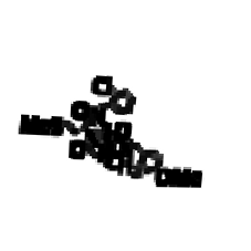 COc1ccc(CNC(=O)N2[C@H]3CN(Cc4ccccc4Cl)C(=O)[C@H](CCSC)N3C(=O)CN2C)cc1